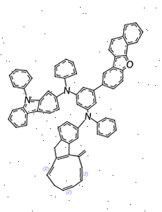 C=C1/C=C\C=C/C/C=C\C2=C1c1cc(N(c3ccccc3)c3cc(-c4ccc5oc6c7ccccc7ccc6c5c4)cc(N(c4ccccc4)c4ccc5c6ccccc6n(-c6ccccc6)c5c4)c3)ccc1C2